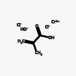 C=C(C)C(=O)O.[Cl-].[Cl-].[Cr+3].[OH-]